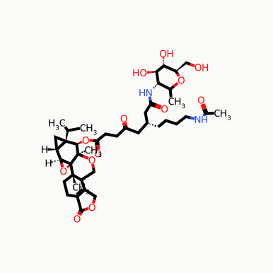 CC(=O)NCCCC[C@H](CC(=O)CCC(=O)O[C@@H]1[C@@]2(C(C)C)C[C@H]2[C@@H]2O[C@@]23[C@@]2(C)CCC4=C(COC4=O)C2CO[C@]13C)CC(=O)N[C@H]1C(C)O[C@H](CO)[C@@H](O)[C@@H]1O